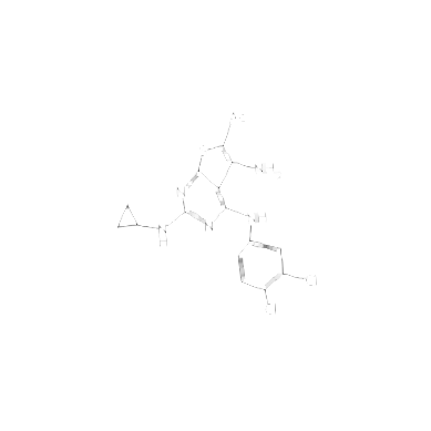 CC(=O)c1sc2nc(NC3CC3)nc(Nc3ccc(Cl)c(Cl)c3)c2c1N